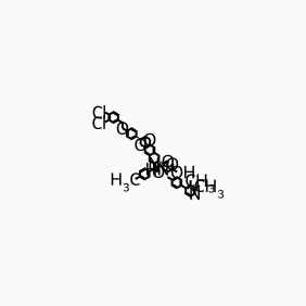 Cc1ccc(C(=O)N2Cc3cc4c(cc3C[C@H]2C(=O)N[C@@H](Cc2ccc(-c3ccnc(C)c3C)cc2)C(=O)O)OC[C@H](c2ccc(OCc3ccc(Cl)c(Cl)c3)cc2)O4)cc1